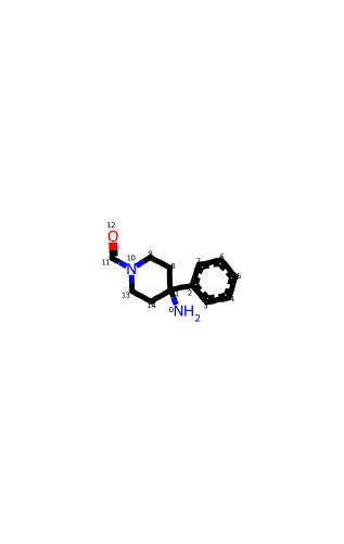 NC1(c2ccccc2)CCN(C=O)CC1